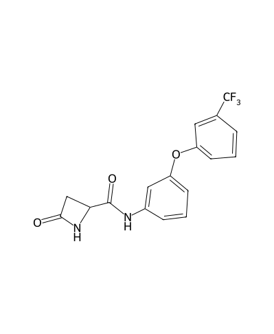 O=C1CC(C(=O)Nc2cccc(Oc3cccc(C(F)(F)F)c3)c2)N1